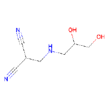 N#CC(C#N)CNCC(O)CO